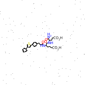 NC(=O)C(CCC(=O)O)NC(=O)C(CCCC(=O)O)NC(=O)CCc1ccc(-c2cc(-c3ccccc3)cs2)cc1